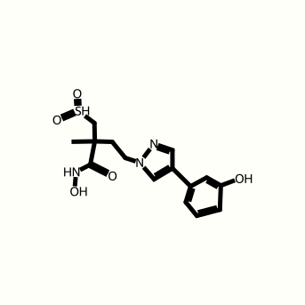 CC(CCn1cc(-c2cccc(O)c2)cn1)(C[SH](=O)=O)C(=O)NO